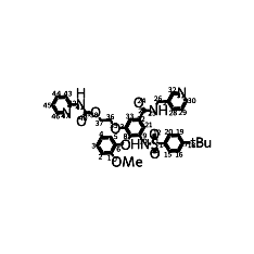 COc1ccccc1Oc1c(NS(=O)(=O)c2ccc(C(C)(C)C)cc2)cc(C(=O)NCc2cccnc2)cc1OCCOC(=O)Nc1ccccn1